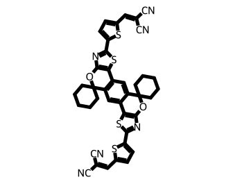 N#CC(C#N)=Cc1ccc(-c2nc3c(s2)-c2cc4c(cc2C2(CCCCC2)O3)-c2sc(-c3ccc(C=C(C#N)C#N)s3)nc2OC42CCCCC2)s1